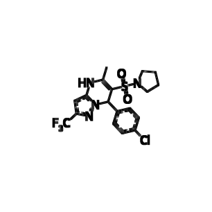 CC1=C(S(=O)(=O)N2CCCC2)C(c2ccc(Cl)cc2)n2nc(C(F)(F)F)cc2N1